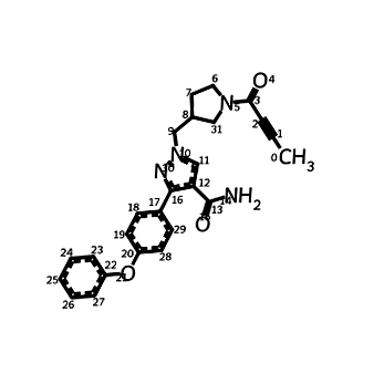 CC#CC(=O)N1CCC(Cn2cc(C(N)=O)c(-c3ccc(Oc4ccccc4)cc3)n2)C1